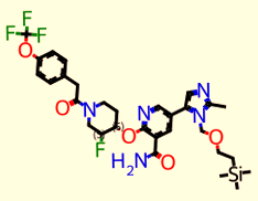 Cc1ncc(-c2cnc(O[C@H]3CCN(C(=O)Cc4ccc(OC(F)(F)F)cc4)C[C@@H]3F)c(C(N)=O)c2)n1COCC[Si](C)(C)C